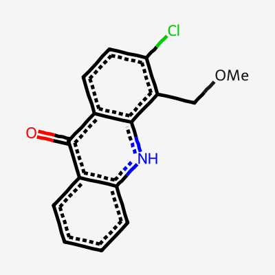 COCc1c(Cl)ccc2c(=O)c3ccccc3[nH]c12